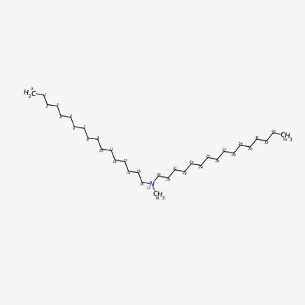 CCCCCCCCCCCCCCCCCN(C)CCCCCCCCCCCCCCCC